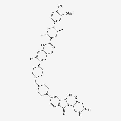 COc1cc(N2C[C@@H](C)N(C(=O)Nc3cc(F)c(N4CCC(CN5CCN(c6ccc7c(c6)C(O)N(C6CNC(=O)CC6=O)C7=O)CC5)CC4)cc3F)C[C@@H]2C)ccc1C#N